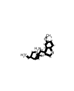 C=CC1CN2CCC1C[C@H]2[C@@H](N)c1ccnc2ccc(OC)cc12